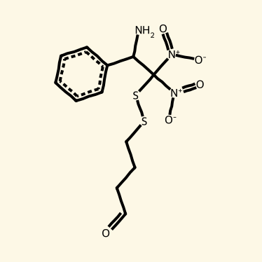 NC(c1ccccc1)C(SSCCCC=O)([N+](=O)[O-])[N+](=O)[O-]